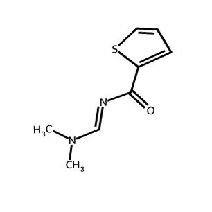 CN(C)C=NC(=O)c1cccs1